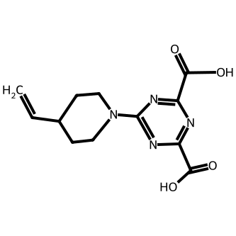 C=CC1CCN(c2nc(C(=O)O)nc(C(=O)O)n2)CC1